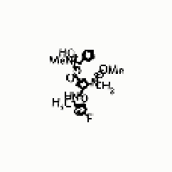 CNC(CO)(COC(=O)c1cc(C(=O)N[C@H](C)c2ccc(F)cc2)cc(N(C)SOOC)c1)Cc1ccccc1